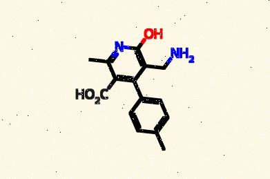 Cc1ccc(-c2c(CN)c(O)nc(C)c2C(=O)O)cc1